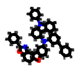 c1ccc(-c2cccc(N(c3ccc4oc5ccc6oc(-c7ccccc7)nc6c5c4c3)c3cccc4c3c3ccccc3n4-c3ccccc3)c2)cc1